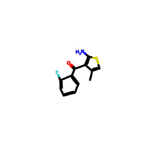 Cc1csc(N)c1C(=O)c1ccccc1F